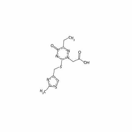 CCc1nn(CC(=O)O)c(SCc2csc(C)n2)nc1=O